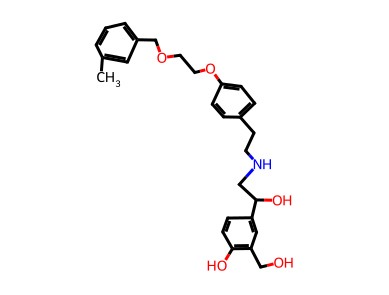 Cc1cccc(COCCOc2ccc(CCNCC(O)c3ccc(O)c(CO)c3)cc2)c1